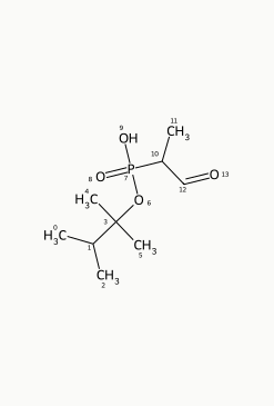 CC(C)C(C)(C)OP(=O)(O)C(C)C=O